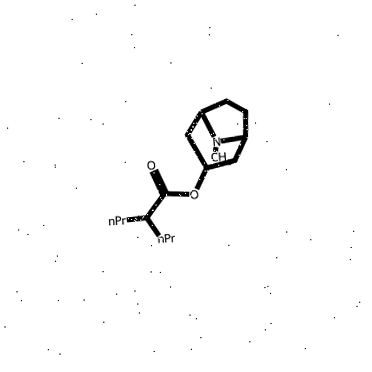 CCCC(CCC)C(=O)OC1CC2CCC(C1)N2C